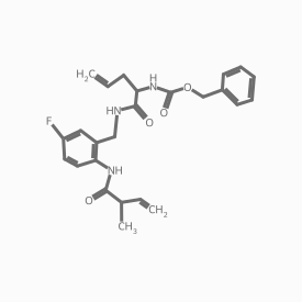 C=CCC(NC(=O)OCc1ccccc1)C(=O)NCc1cc(F)ccc1NC(=O)C(C)C=C